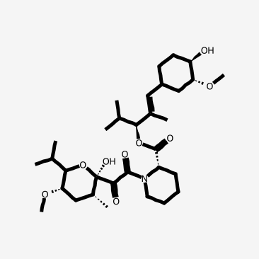 CO[C@H]1C[C@@H](C)[C@](O)(C(=O)C(=O)N2CCCC[C@H]2C(=O)O[C@H](/C(C)=C/C2CC[C@@H](O)[C@H](OC)C2)C(C)C)OC1C(C)C